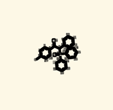 Cc1ccc(C(=O)C(c2ccccc2)P(=O)(c2ccccc2)c2ccccc2)cc1